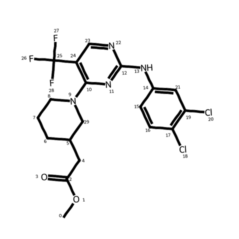 COC(=O)CC1CCCN(c2nc(Nc3ccc(Cl)c(Cl)c3)ncc2C(F)(F)F)C1